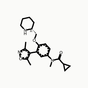 Cc1noc(C)c1-c1cc(N(C)C(=O)C2CC2)ccc1OC[C@H]1CCCCN1